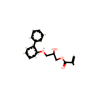 C=C(C)C(=O)OCC(O)COc1ccccc1-c1ccccc1